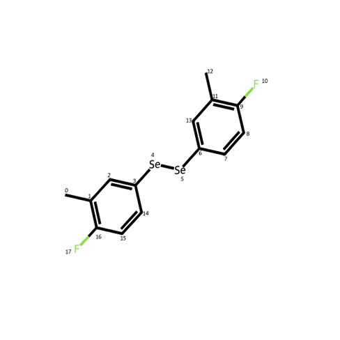 Cc1cc([Se][Se]c2ccc(F)c(C)c2)ccc1F